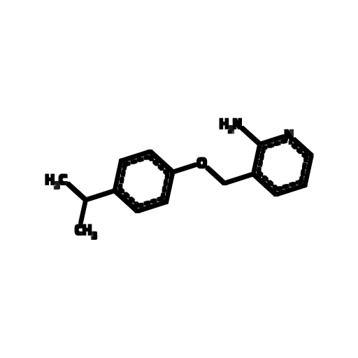 CC(C)c1ccc(OCc2cccnc2N)cc1